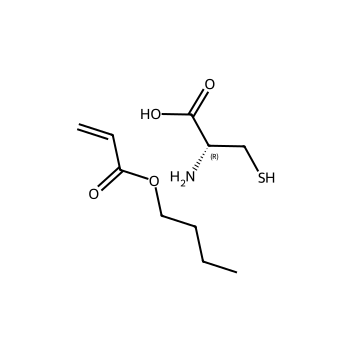 C=CC(=O)OCCCC.N[C@@H](CS)C(=O)O